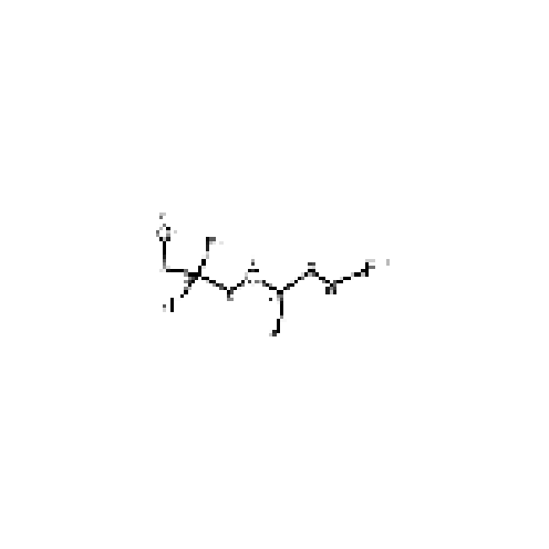 [O]CC(F)(F)COC(F)CCF